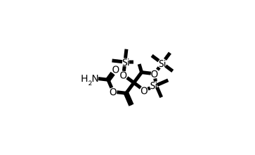 C=C(OC(N)=O)C(O[Si](C)(C)C)(O[Si](C)(C)C)C(C)O[Si](C)(C)C